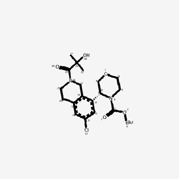 CC(C)(C)OC(=O)N1CCOC[C@H]1c1cc(Cl)cc2c1CN(C(=O)C(C)(C)O)CC2